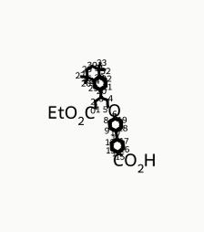 CCOC(=O)CCC(CCOc1ccc(-c2ccc(C(=O)O)cc2)cc1)c1ccc2c(c1)C(C)(C)CCC2(C)C